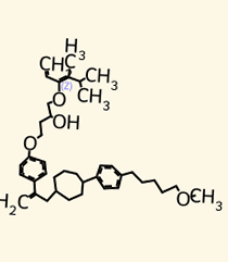 C=C/C(OCC(O)CCOc1ccc(C(=C)CC2CCCC(c3ccc(CCCCCOC)cc3)CC2)cc1)=C(\C)C(C)C